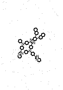 c1ccc(N(c2ccc(-c3cn4ccccc4n3)cc2)c2ccc(-c3nc4cc(-c5ccc6ccccc6c5)c(-c5ccc6ccccc6c5)cc4nc3-c3ccc(N(c4ccccc4)c4ccc(-c5cn6ccccc6n5)cc4)cc3)cc2)cc1